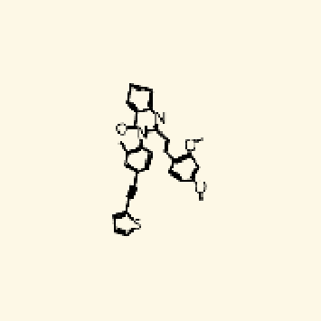 COc1ccc(C=Cc2nc3ccccc3c(=O)n2-c2ccc(C#Cc3cccs3)cc2C)c(OC)c1